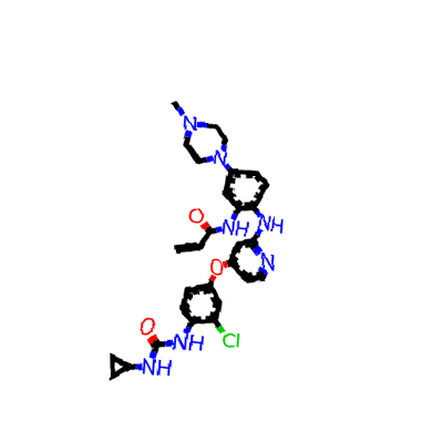 C=CC(=O)Nc1cc(N2CCN(C)CC2)ccc1Nc1cc(Oc2ccc(NC(=O)NC3CC3)c(Cl)c2)ccn1